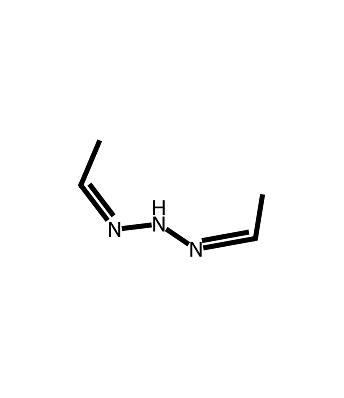 C/C=N\N/N=C\C